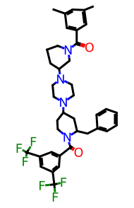 Cc1cc(C)cc(C(=O)N2CCCC(N3CCN(C4CCN(C(=O)c5cc(C(F)(F)F)cc(C(F)(F)F)c5)C(Cc5ccccc5)C4)CC3)C2)c1